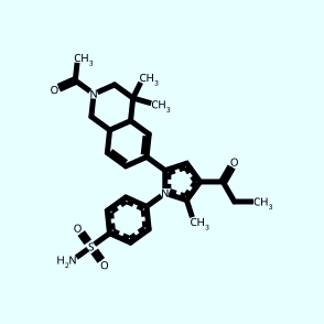 CCC(=O)c1cc(C2=CC3C(C=C2)CN(C(C)=O)CC3(C)C)n(-c2ccc(S(N)(=O)=O)cc2)c1C